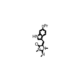 CCCc1ccc2c(/C=C3\C(=O)N(C)/C(=N\C)N3C)c[nH]c2c1